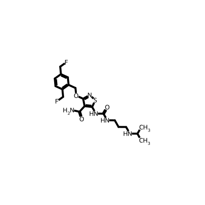 CC(C)NCCCNC(=O)Nc1snc(OCc2cc(CF)ccc2CF)c1C(N)=O